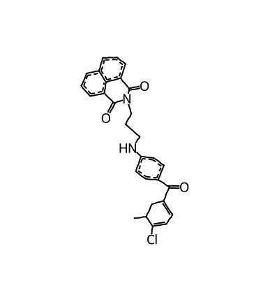 CC1CC(C(=O)c2ccc(NCCCN3C(=O)c4cccc5cccc(c45)C3=O)cc2)=CC=C1Cl